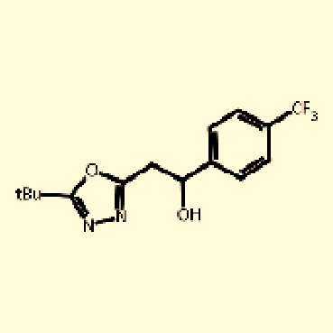 CC(C)(C)c1nnc(CC(O)c2ccc(C(F)(F)F)cc2)o1